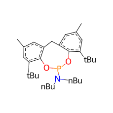 CCCCN(CCCC)P1Oc2c(cc(C)cc2C(C)(C)C)Cc2cc(C)cc(C(C)(C)C)c2O1